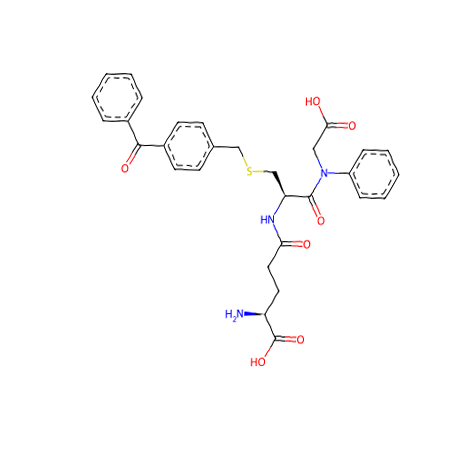 N[C@@H](CCC(=O)N[C@@H](CSCc1ccc(C(=O)c2ccccc2)cc1)C(=O)N(CC(=O)O)c1ccccc1)C(=O)O